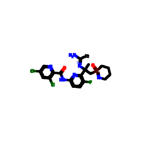 CC/C(N)=N\C(C)(CS1(=O)=NCCCC1)c1nc(NC(=O)c2ncc(Cl)cc2Cl)ccc1F